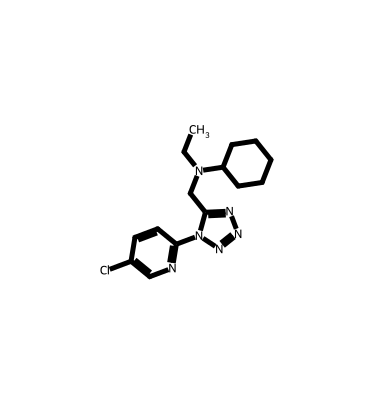 CCN(Cc1nnnn1-c1ccc(Cl)cn1)C1CCCCC1